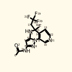 CC(=O)Nc1cc2n(n1)-c1cnccc1C(F)(CC(F)(F)F)N2